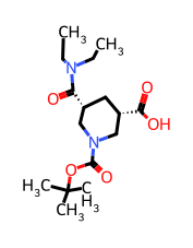 CCN(CC)C(=O)[C@@H]1C[C@H](C(=O)O)CN(C(=O)OC(C)(C)C)C1